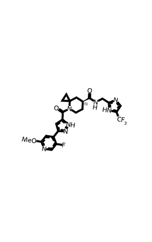 COc1cc(-c2cc(C(=O)N3CC[C@H](C(=O)NCc4ncc(C(F)(F)F)[nH]4)CC34CC4)[nH]n2)c(F)cn1